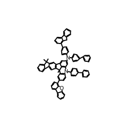 CC1(C)c2ccccc2-c2cc3c(cc21)-c1cc(N(c2ccc(-c4ccccc4)cc2)c2ccc(-c4cccc5c4Cc4ccccc4-5)cc2)cc2c1C3(C)c1cc(-c3cccc4c3oc3ccccc34)ccc1N2c1ccc(-c2ccccc2)cc1